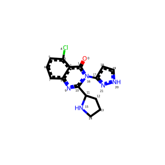 O=c1c2c(Cl)cccc2nc(C2CCCN2)n1-c1cc[nH]n1